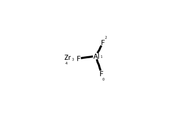 [F][Al]([F])[F].[Zr]